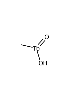 [CH3][Tb](=[O])[OH]